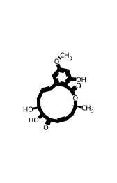 COc1cc(O)c2c(c1)/C=C/C[C@H](O)C(O)C(=O)/C=C\C[C@H](C)OC2=O